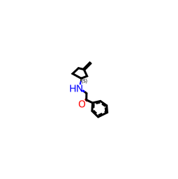 C=C1CC[C@H](NCC(=O)c2ccccc2)C1